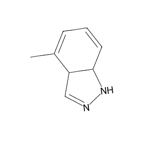 CC1=CC=CC2NN=CC12